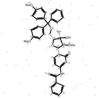 [2H][C@@]1(O)[C@@H](COC(c2ccccc2)(c2ccc(OC)cc2)c2ccc(OC)cc2)O[C@@H](n2ccc(NC(=O)c3ccccc3)nc2=O)[C@@H]1OC